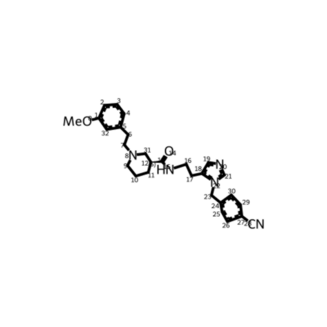 COc1cccc(CCN2CCC[C@H](C(=O)NCCc3cncn3Cc3ccc(C#N)cc3)C2)c1